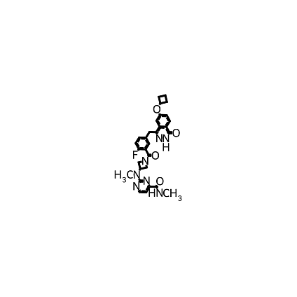 CNC(=O)c1ccnc(N(C)C2CN(C(=O)c3cc(Cc4n[nH]c(=O)c5ccc(OC6CCC6)cc45)ccc3F)C2)n1